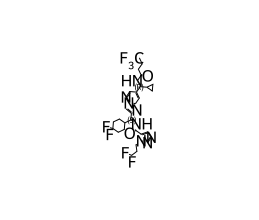 O=C(CCC(F)(F)F)N[C@@H](c1cnn2cc([C@@H](NC(=O)c3cnnn3CCC(F)F)C3CCC(F)(F)CC3)nc2c1)C1CC1